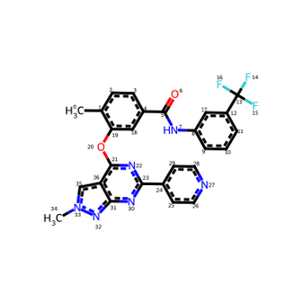 Cc1ccc(C(=O)Nc2cccc(C(F)(F)F)c2)cc1Oc1nc(-c2ccncc2)nc2nn(C)cc12